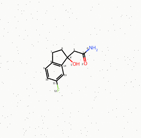 NC(=O)CC1(O)CCc2ccc(F)cc21